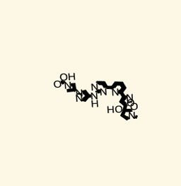 CN1CC[C@@](O)(c2cc(-c3cccc(-c4ccnc(Nc5cnn(C6CN(C(=O)O)C6)c5)n4)n3)no2)C1=O